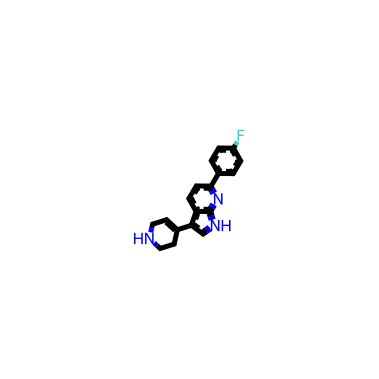 Fc1ccc(-c2ccc3c(C4=CCNCC4)c[nH]c3n2)cc1